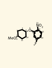 CO[C@H]1CC[C@H](Oc2cc(F)ccc2[N+](=O)[O-])CC1